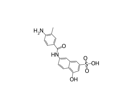 Cc1cc(C(=O)Nc2ccc3c(O)cc(S(=O)(=O)O)cc3c2)ccc1N